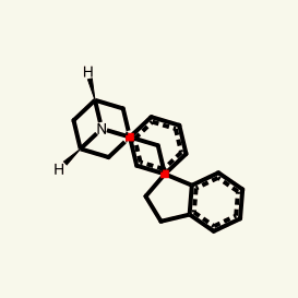 c1ccc(N2[C@@H]3C[C@H]2CN(CC2CCc4ccccc42)C3)cc1